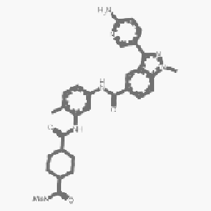 CNC(=O)C1CCC(C(=O)Nc2cc(NC(=O)c3ccc4c(c3)c(-c3ccc(N)nc3)nn4C)ccc2C)CC1